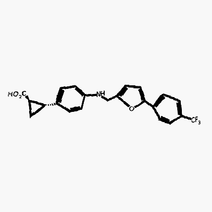 O=C(O)[C@@H]1C[C@H]1c1ccc(NCc2ccc(-c3ccc(C(F)(F)F)cc3)o2)cc1